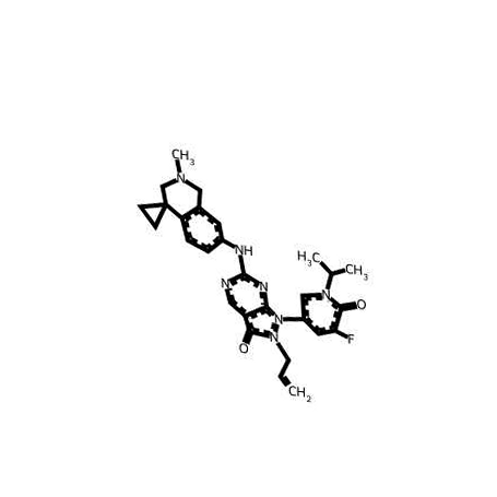 C=CCn1c(=O)c2cnc(Nc3ccc4c(c3)CN(C)CC43CC3)nc2n1-c1cc(F)c(=O)n(C(C)C)c1